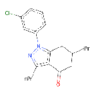 CCCc1nn(-c2cccc(Cl)c2)c2c1C(=O)CC(C(C)C)C2